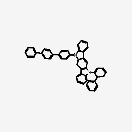 C1=CCC(c2ccccc2)C(n2c3c(c4ccccc42)CC2C(=C3)c3ccccc3N2c2ccc(-c3ccc(-c4ccccc4)cc3)cc2)=C1